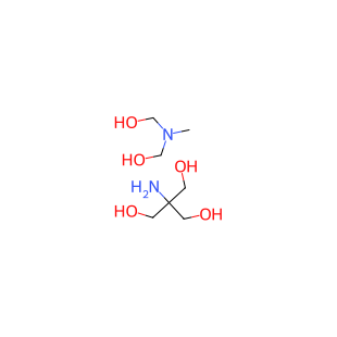 CN(CO)CO.NC(CO)(CO)CO